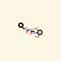 O=C(CNC1C(O)CCCC1O)NC(=O)OCc1ccccc1